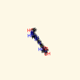 CC(=O)[C@@H]1C[C@@H](O)CN1C(=O)[C@@H](NC(=O)C1CCC2(CC1)CC(N1CCC(c3cnc(N4CCN5c6cc(-c7ccccc7O)nnc6NC[C@H]5C4)nc3)CC1)C2)C(C)(C)C